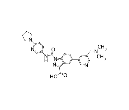 CN(C)Cc1cncc(-c2ccc3c(c2)c(C(=O)O)nn3C(=O)Nc2ccc(N3CCCC3)nc2)c1